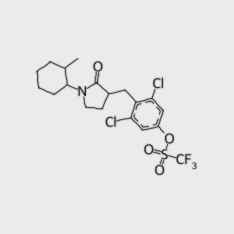 CC1CCCCC1N1CCC(Cc2c(Cl)cc(OS(=O)(=O)C(F)(F)F)cc2Cl)C1=O